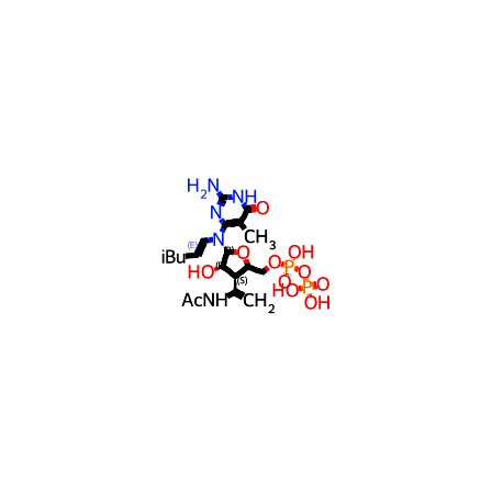 C=C(NC(C)=O)[C@@H]1C(COP(=O)(O)OP(=O)(O)O)O[C@@H](N(/C=C/C(C)CC)c2nc(N)[nH]c(=O)c2C)[C@@H]1O